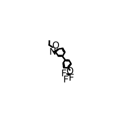 CCc1nc2cc(-c3ccc(OC(F)(F)F)cc3)ccc2o1